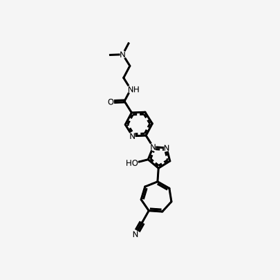 CN(C)CCNC(=O)c1ccc(-n2ncc(C3=CCC=C(C#N)C=C3)c2O)nc1